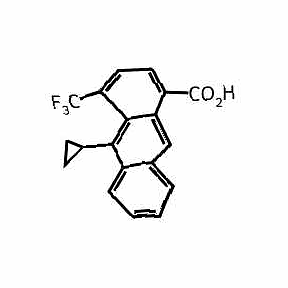 O=C(O)c1ccc(C(F)(F)F)c2c(C3CC3)c3ccccc3cc12